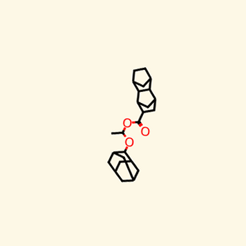 CC(OC(=O)C1CC2CC1C1C3CCC(C3)C21)OC1C2CC3CC(C2)CC1C3